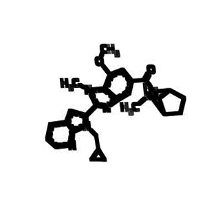 CNC1C2CCC1N(C(=O)c1cc(OC)c3c(c1)nc(-c1cc4cccnc4n1CC1CC1)n3C)C2